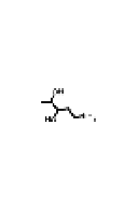 CC(O)C(O)CCN